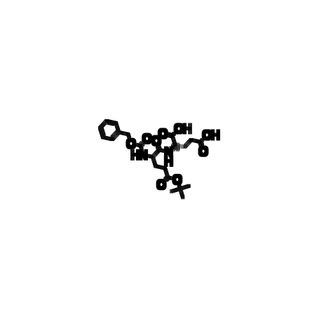 CC(C)(C)OC(=O)CCC(NC(=O)OCc1ccccc1)C(=O)N[C@@H](CCC(=O)O)C(=O)O